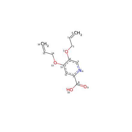 C=CCOc1cnc(C(=O)O)cc1OCC=C